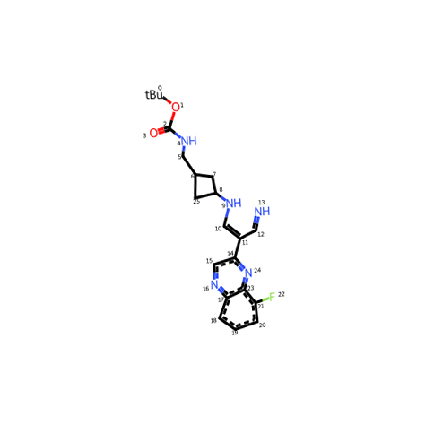 CC(C)(C)OC(=O)NCC1CC(N/C=C(\C=N)c2cnc3cccc(F)c3n2)C1